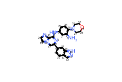 Nc1cc(Nc2nc(-c3ccc4cn[nH]c4c3)cn3ccnc23)ccc1N1CCOCC1